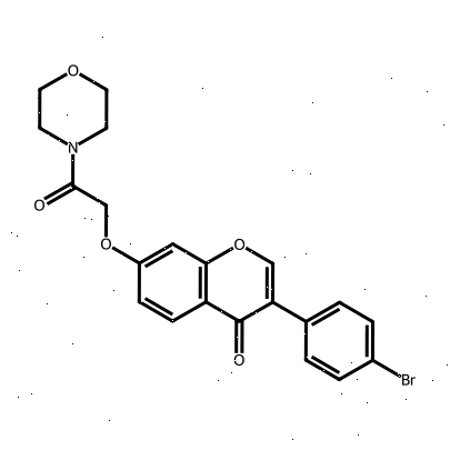 O=C(COc1ccc2c(=O)c(-c3ccc(Br)cc3)coc2c1)N1CCOCC1